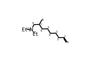 C=CCCCCCC(C)CN(CC)CC